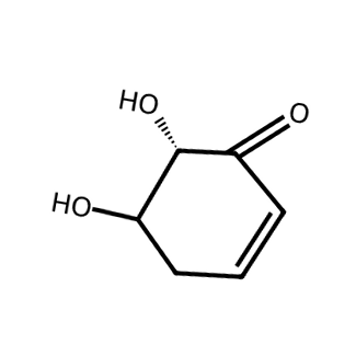 O=C1C=CCC(O)[C@@H]1O